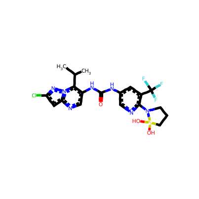 CC(C)c1c(NC(=O)Nc2cnc(N3CCCS3(O)O)c(C(F)(F)F)c2)cnc2cc(Cl)nn12